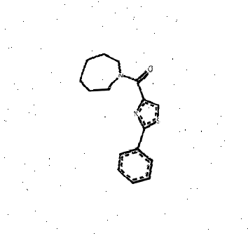 O=C(c1csc(-c2ccccc2)n1)N1CCCCCC1